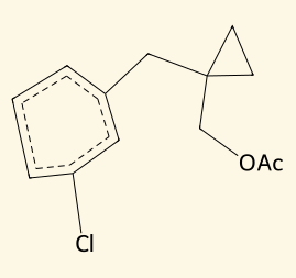 CC(=O)OCC1(Cc2cccc(Cl)c2)CC1